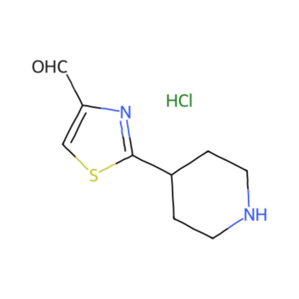 Cl.O=Cc1csc(C2CCNCC2)n1